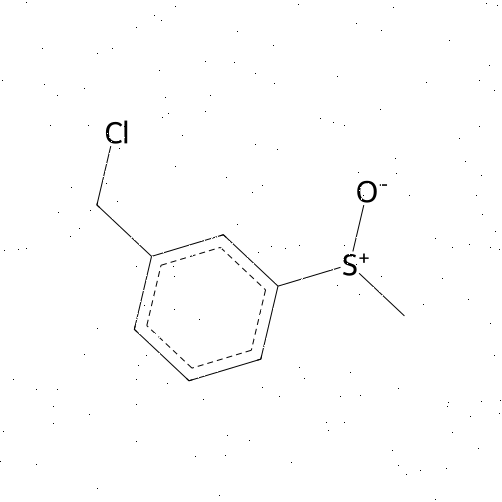 C[S+]([O-])c1cccc(CCl)c1